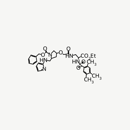 CCOC(=O)C(CNC(=O)COC1CC(CNc2ccccn2)N(C(=O)OCc2ccccc2)C1)NS(=O)(=O)c1cc(C)c(C)cc1C